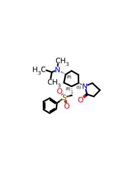 CC(C)N(C)[C@@H]1CC[C@H](N2CCCC2=O)[C@H](CS(=O)(=O)c2ccccc2)C1